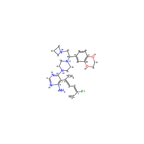 C/C(F)=C\C=C(/C)c1c(N)ncnc1N1CCN(C(CN2CCC2)c2ccc3c(c2)OCCO3)CC1